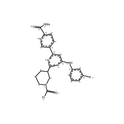 CCC(=O)N1CCCC(c2nc(Nc3cccc(F)c3)cc(-c3ccc(C(=O)NC)nc3)n2)C1